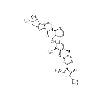 C[C@H]1CN(C2COC2)C(=O)N1c1ccc(Nc2cc(-c3ccnc(-n4ccn5c6c(cc5c4=O)CC(C)(C)C6)c3CO)cn(C)c2=O)nc1